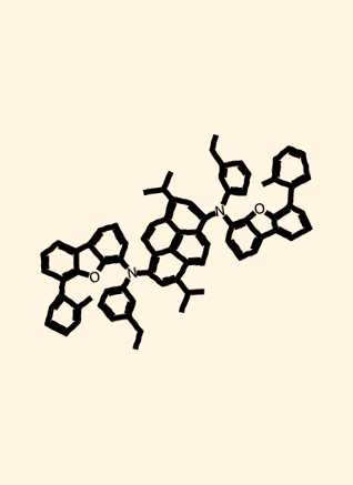 CCc1cccc(N(c2cc(C(C)C)c3ccc4c(N(c5cccc(CC)c5)c5cccc6c5oc5c(-c7ccccc7C)cccc56)cc(C(C)C)c5ccc2c3c54)c2cccc3c2oc2c(-c4ccccc4C)cccc23)c1